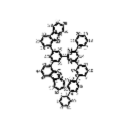 c1ccc(-c2ccc(-c3cccc(-c4cc(-c5ccccc5)nc(-c5cc(-c6cccc7c6sc6ccccc67)cc(-c6cccc7c6sc6ccccc67)c5)n4)c3)cc2)cc1